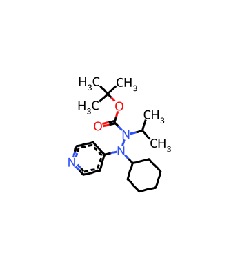 CC(C)N(C(=O)OC(C)(C)C)N(c1ccncc1)C1CCCCC1